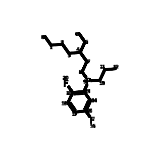 CCCCC(CC)CCP(CCC)c1cc(F)ccc1F